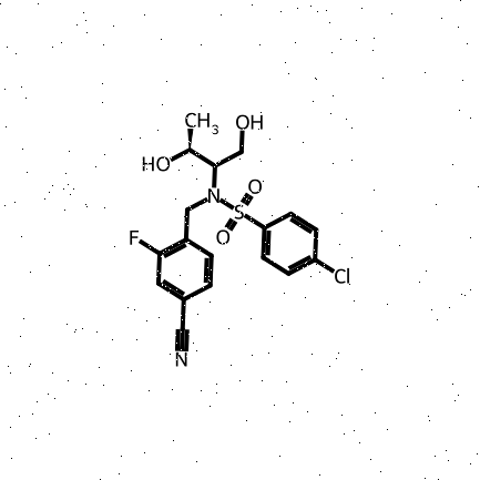 C[C@H](O)C(CO)N(Cc1ccc(C#N)cc1F)S(=O)(=O)c1ccc(Cl)cc1